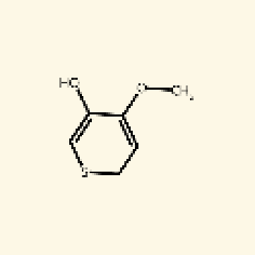 COC1=CCSC=C1O